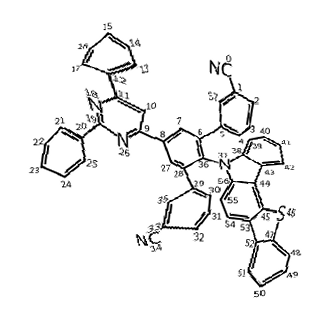 N#Cc1cccc(-c2cc(-c3cc(-c4ccccc4)nc(-c4ccccc4)n3)cc(-c3cccc(C#N)c3)c2-n2c3ccccc3c3c4sc5ccccc5c4ccc32)c1